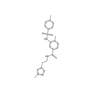 Cc1ccc(S(=O)(=O)Nc2cc(C(=O)NCCc3cnn(C)c3)ccc2C)cc1